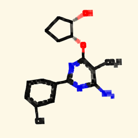 N#Cc1cccc(-c2nc(N)c(C(=O)O)c(O[C@@H]3CCC[C@@H]3O)n2)c1